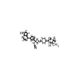 C[C@H](NC(=O)N1CCN([C@H]2C[C@](CC#N)(n3cc(-c4ncnc5[nH]ccc45)cn3)C2)CC1)C(F)(F)F